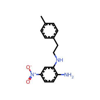 Cc1ccc(CCNc2cc([N+](=O)[O-])ccc2N)cc1